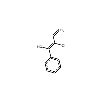 C=CC(Cl)=C(O)c1ccccc1